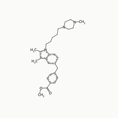 COC(=O)c1ccc(Cc2ccc3c(c2)c(C)c(C)n3CCCCCN2CCN(C)CC2)cc1